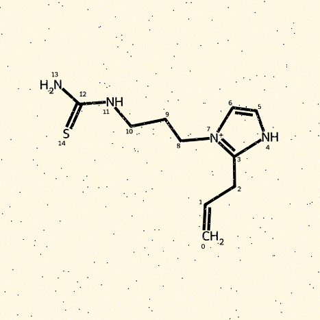 C=CCc1[nH]cc[n+]1CCCNC(N)=S